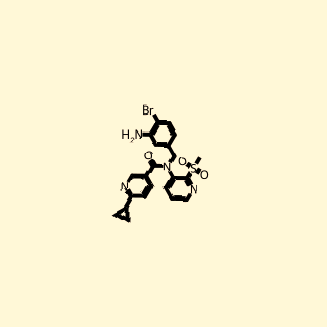 CS(=O)(=O)c1ncccc1N(Cc1ccc(Br)c(N)c1)C(=O)c1ccc(C2CC2)nc1